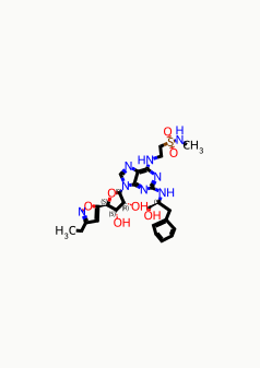 CCc1cc([C@H]2O[C@@H](n3cnc4c(NCCS(=O)(=O)NC)nc(N[C@H](CO)Cc5ccccc5)nc43)[C@H](O)[C@@H]2O)on1